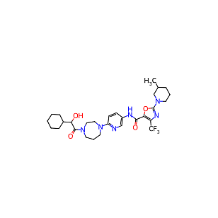 CC1CCCN(c2nc(C(F)(F)F)c(C(=O)Nc3ccc(N4CCCN(C(=O)C(O)C5CCCCC5)CC4)nc3)o2)C1